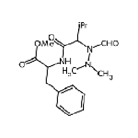 COC(=O)C(Cc1ccccc1)NC(=O)C(C(C)C)N(C=O)N(C)C